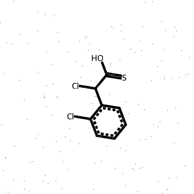 OC(=S)C(Cl)c1ccccc1Cl